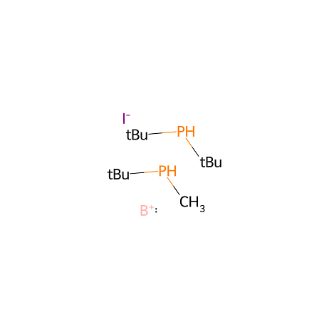 CC(C)(C)PC(C)(C)C.CPC(C)(C)C.[B+].[I-]